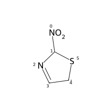 O=[N+]([O-])C1N=C[CH]S1